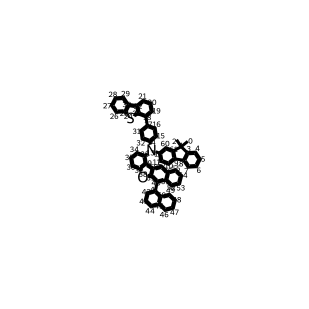 CC1(C)c2ccccc2-c2ccc(N(c3ccc(-c4cccc5c4sc4ccccc45)cc3)c3cccc4oc5c(-c6cccc7ccccc67)c6ccccc6cc5c34)cc21